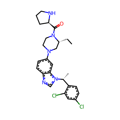 CC[C@@H]1CN(c2ccc3ncn([C@H](C)c4ccc(Cl)cc4Cl)c3c2)CCN1C(=O)[C@H]1CCCN1